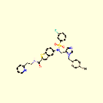 N#Cc1ccc(Cn2cncc2CN(c2ccc3sc(C(=O)NCCc4ccccn4)cc3c2)S(=O)(=O)c2cccc(F)c2)cc1